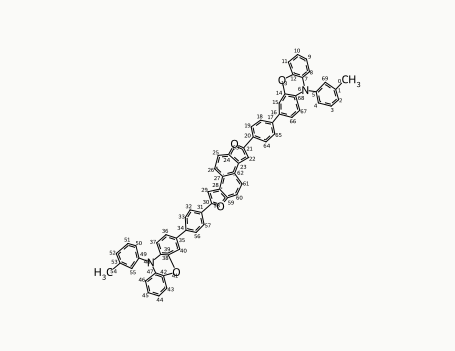 Cc1cccc(N2c3ccccc3Oc3cc(-c4ccc(-c5cc6c(ccc7c8cc(-c9ccc(-c%10ccc%11c(c%10)Oc%10ccccc%10N%11c%10cccc(C)c%10)cc9)oc8ccc67)o5)cc4)ccc32)c1